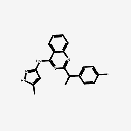 Cc1cc(Nc2nc(C(C)c3ccc(F)cc3)nc3ccccc23)n[nH]1